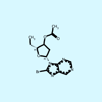 CC[C@H]1O[C@@H](n2c(Br)nc3cncnc32)CC1OC(C)=O